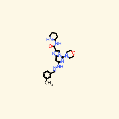 Cc1cccc(/C=N/Nc2cc3nc(C(=O)NC4CCCCN4)cn3c(N3CCOCC3)n2)c1